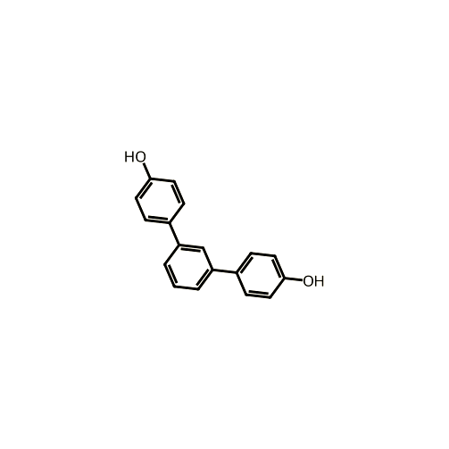 Oc1ccc(-c2cccc(-c3ccc(O)cc3)c2)cc1